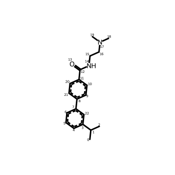 CC(C)c1cccc(-c2ccc(C(=O)NCCN(C)C)cc2)c1